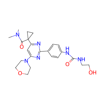 CN(C)C(=O)C1(c2cc(N3CCOCC3)nc(-c3ccc(NC(=O)NCCO)cc3)n2)CC1